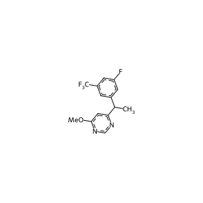 COc1cc(C(C)c2cc(F)cc(C(F)(F)F)c2)ncn1